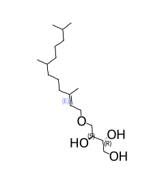 C/C(=C\COC[C@H](O)[C@H](O)CO)CCCC(C)CCCC(C)C